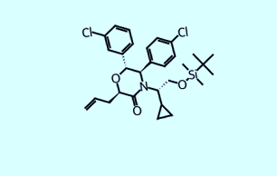 C=CC[C@H]1O[C@H](c2cccc(Cl)c2)[C@@H](c2ccc(Cl)cc2)N([C@H](CO[Si](C)(C)C(C)(C)C)C2CC2)C1=O